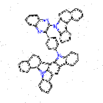 c1ccc2c(c1)ccc1c2c2ccccc2n1-c1nc2ccccc2nc1-c1ccc(-n2c3ccccc3c3cc4c5ccccc5n5c6c7ccccc7ccc6c(c32)c45)cc1